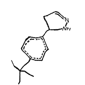 CC(C)(C)c1ccc(C2CC=NN2)cc1